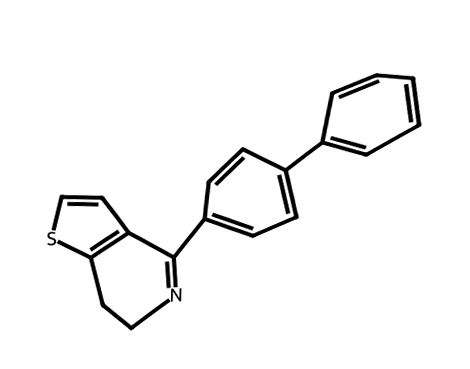 c1ccc(-c2ccc(C3=NCCc4sccc43)cc2)cc1